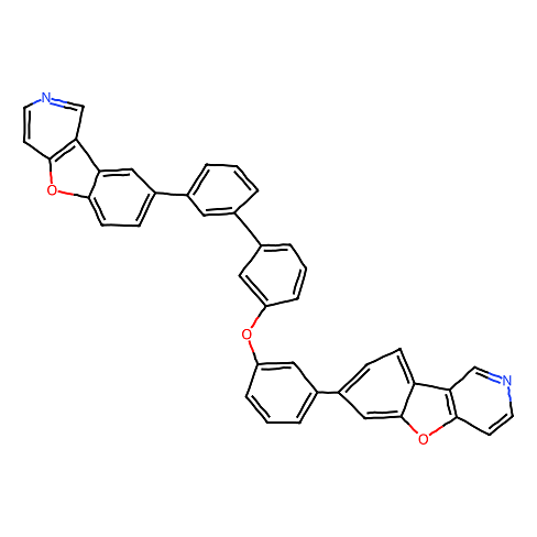 c1cc(Oc2cccc(-c3ccc4c(c3)oc3ccncc34)c2)cc(-c2cccc(-c3ccc4oc5ccncc5c4c3)c2)c1